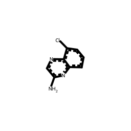 Nc1cnc2c(Cl)cccc2n1